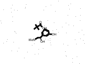 CC(C)(C)C(=O)O.CNC[C@H](O)c1cccc(O)c1